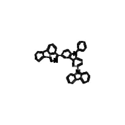 c1ccc(-n2c3ccc(-c4ncc5c6c(cccc46)-c4ccccc4-5)cc3c3cc(-n4c5ccccc5c5ccccc54)ccc32)cc1